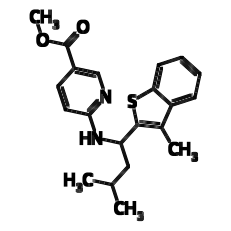 COC(=O)c1ccc(NC(CC(C)C)c2sc3ccccc3c2C)nc1